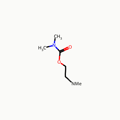 CNCCOC(=O)N(C)C